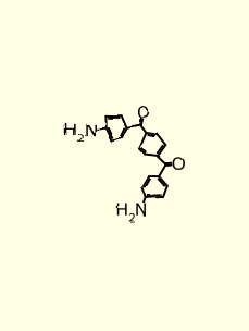 Nc1ccc(C(=O)c2ccc(C(=O)c3ccc(N)cc3)cc2)cc1